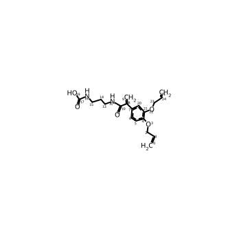 C=CCOc1ccc(C(=C)C(=O)NCCCNC(=O)O)cc1OCC=C